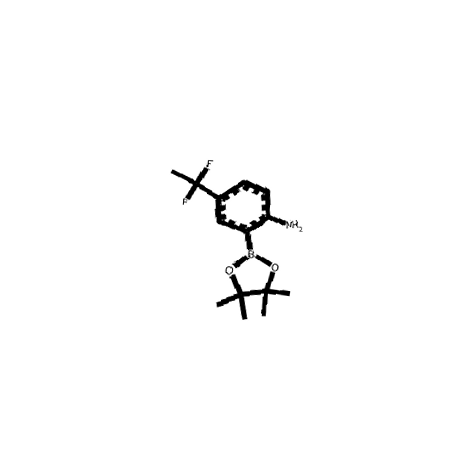 CC(F)(F)c1ccc(N)c(B2OC(C)(C)C(C)(C)O2)c1